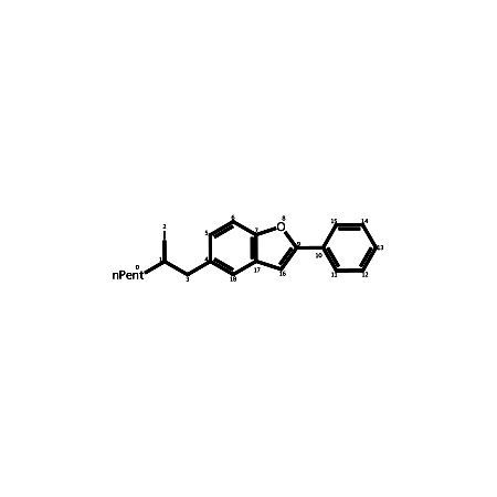 CCCCCC(I)Cc1ccc2oc(-c3ccccc3)cc2c1